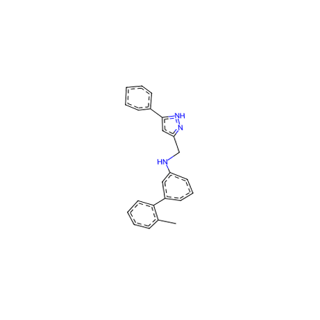 Cc1ccccc1-c1cccc(NCc2cc(-c3ccccc3)[nH]n2)c1